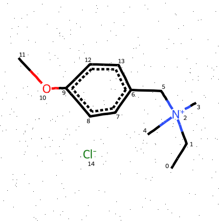 CC[N+](C)(C)Cc1ccc(OC)cc1.[Cl-]